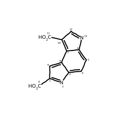 O=C(O)C1=Nc2ccc3c(c2=C1)=C(C(=O)O)C=N3